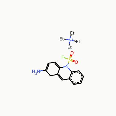 CC[N+](CC)(CC)CC.NC1=CC=C2C(=Cc3ccccc3N2S(=O)(=O)F)C1